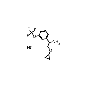 Cl.NC(COC1CC1)c1cccc(OC(F)(F)F)c1